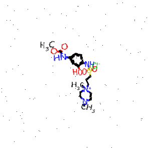 COC(=O)Nc1ccc(NS(=O)(=O)CCC[N+]2(C)CCN(C)CC2)c(O)c1.[Cl-]